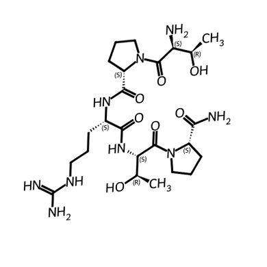 C[C@@H](O)[C@H](N)C(=O)N1CCC[C@H]1C(=O)N[C@@H](CCCNC(=N)N)C(=O)N[C@H](C(=O)N1CCC[C@H]1C(N)=O)[C@@H](C)O